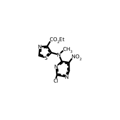 CCOC(=O)c1ncsc1N(C)c1nc(Cl)ncc1[N+](=O)[O-]